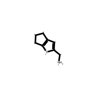 NCc1cc2c(s1)CCC2